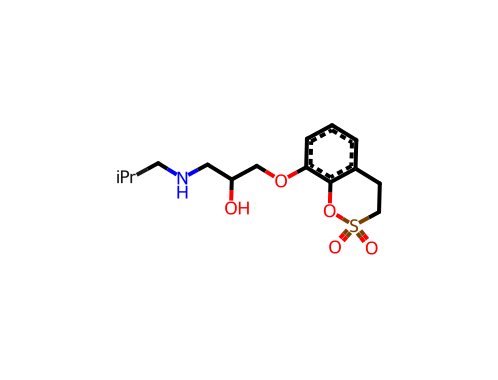 CC(C)CNCC(O)COc1cccc2c1OS(=O)(=O)CC2